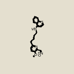 COc1ccc(CCCCNc2ccnc3ccccc23)nc1/C=N\O